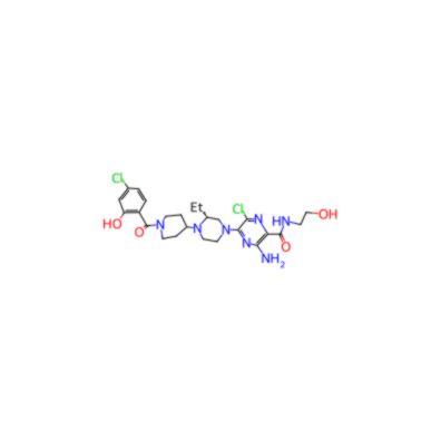 CC[C@H]1CN(c2nc(N)c(C(=O)NCCO)nc2Cl)CCN1C1CCN(C(=O)c2ccc(Cl)cc2O)CC1